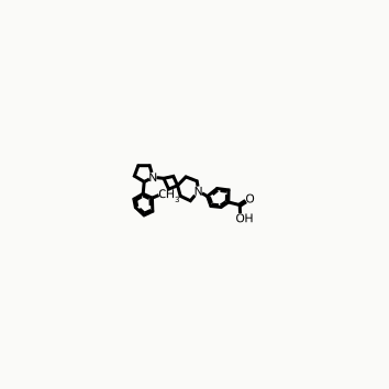 Cc1ccccc1C1CCCN1C1CC2(CCN(c3ccc(C(=O)O)cc3)CC2)C1